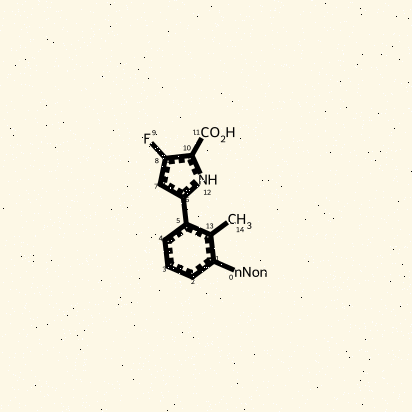 CCCCCCCCCc1cccc(-c2cc(F)c(C(=O)O)[nH]2)c1C